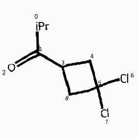 CC(C)C(=O)C1CC(Cl)(Cl)C1